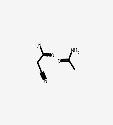 CC(N)=O.N#CCC(N)=O